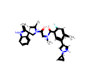 C=C1Nc2ccccc2[C@@]12CC(C#N)N(C(=O)CN(C)C(=O)c1cc(-c3cnn(C4CC4)c3)c(C)cc1F)C2